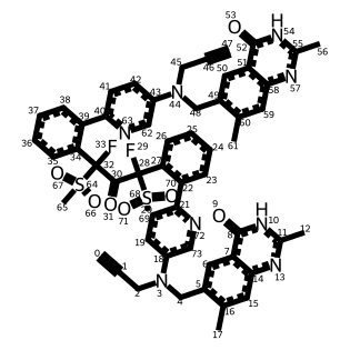 C#CCN(Cc1cc2c(=O)[nH]c(C)nc2cc1C)c1ccc(-c2ccccc2C(F)(C(=O)C(F)(c2ccccc2-c2ccc(N(CC#C)Cc3cc4c(=O)[nH]c(C)nc4cc3C)cn2)S(C)(=O)=O)S(C)(=O)=O)nc1